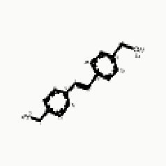 CC(C)Cc1ccc(C=Cc2ccc(CO)cc2)cc1